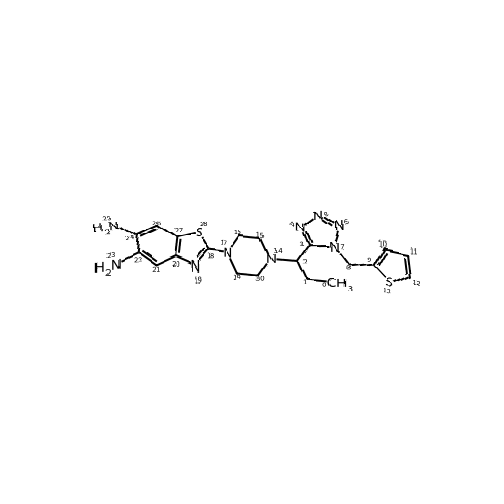 CCC(c1nnnn1Cc1cccs1)N1CCN(c2nc3cc(N)c(N)cc3s2)CC1